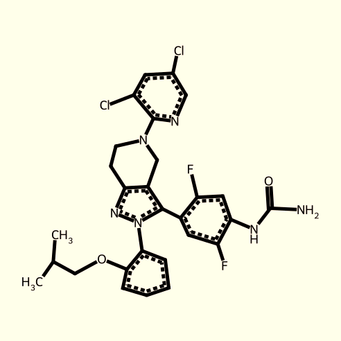 CC(C)COc1ccccc1-n1nc2c(c1-c1cc(F)c(NC(N)=O)cc1F)CN(c1ncc(Cl)cc1Cl)CC2